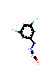 O=C=NCc1cc(F)cc(F)c1